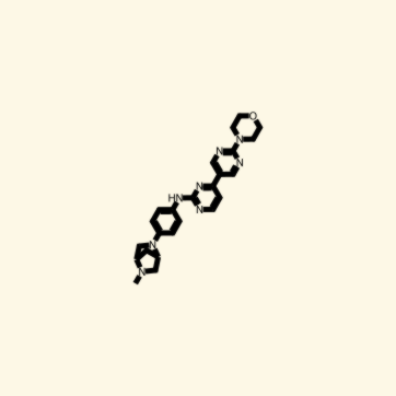 CN1CC2CC1CN2c1ccc(Nc2nccc(-c3cnc(N4CCOCC4)nc3)n2)cc1